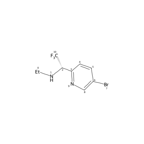 CCN[C@@H](c1ccc(Br)cn1)C(F)(F)F